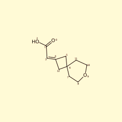 O=C(O)C=C1CC2(CCOCC2)C1